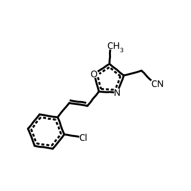 Cc1oc(/C=C/c2ccccc2Cl)nc1CC#N